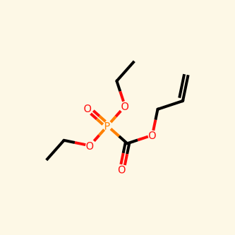 C=CCOC(=O)P(=O)(OCC)OCC